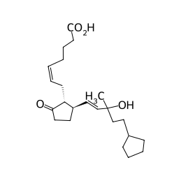 CC(O)(/C=C/[C@H]1CCC(=O)[C@@H]1C/C=C\CCCC(=O)O)CCC1CCCC1